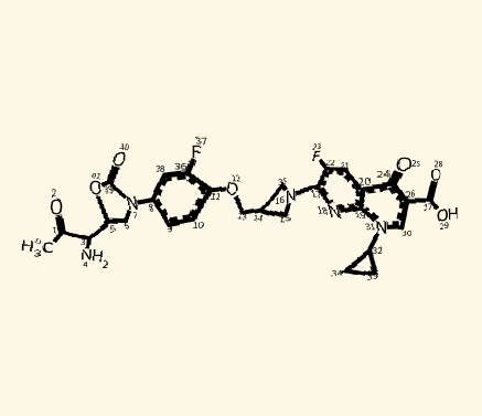 CC(=O)C(N)C1CN(c2ccc(OCC3CN(c4nc5c(cc4F)c(=O)c(C(=O)O)cn5C4CC4)C3)c(F)c2)C(=O)O1